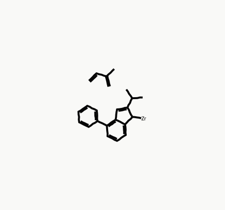 C=CC(=C)C.CC(C)C1=Cc2c(-c3ccccc3)cccc2[CH]1[Zr]